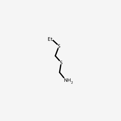 CCSCSCN